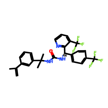 C=C(C)c1cccc(C(C)(C)NC(=O)N[C@@H](c2ccc(C(F)(F)F)cc2)c2ncccc2C(F)(F)F)c1